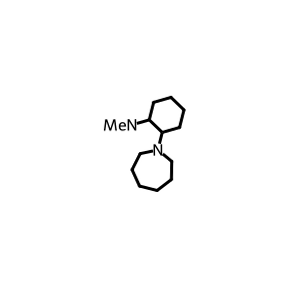 CNC1CCCCC1N1CCCCCC1